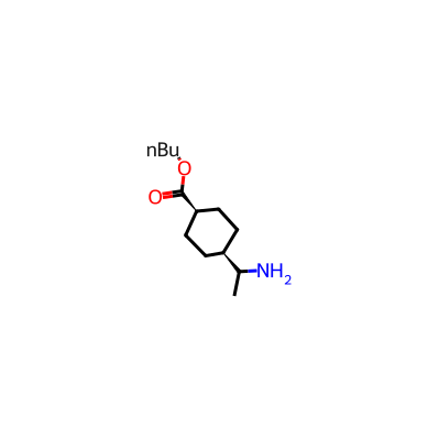 CCCCOC(=O)[C@H]1CC[C@@H](C(C)N)CC1